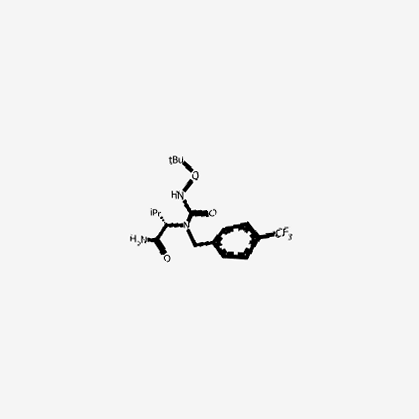 CC(C)[C@@H](C(N)=O)N(Cc1ccc(C(F)(F)F)cc1)C(=O)NOC(C)(C)C